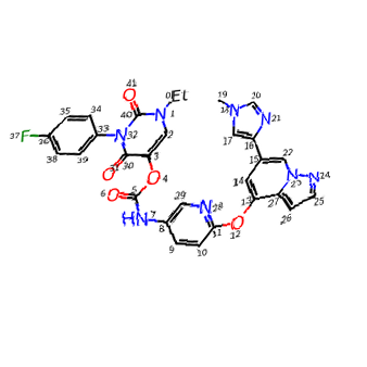 CCn1cc(OC(=O)Nc2ccc(Oc3cc(-c4cn(C)cn4)cn4nccc34)nc2)c(=O)n(-c2ccc(F)cc2)c1=O